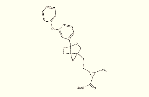 COC(=O)C1C(C)C1CCC12COC3(c4cccc(Oc5ccccc5)c4)CCC13C2